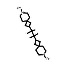 CC(C)N1CCC2(CC1)CC(C(C)(C)C(C)(C)C1CC3(CCN(C(C)C)CC3)C1)C2